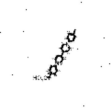 Cc1ccc(-[n+]2ccc(-c3cc[n+](-c4ccc(CC(=O)O)cc4)cc3)cc2)cc1